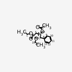 CCOP(=O)(CN(Cc1ccccc1)OC(C)=O)OCC